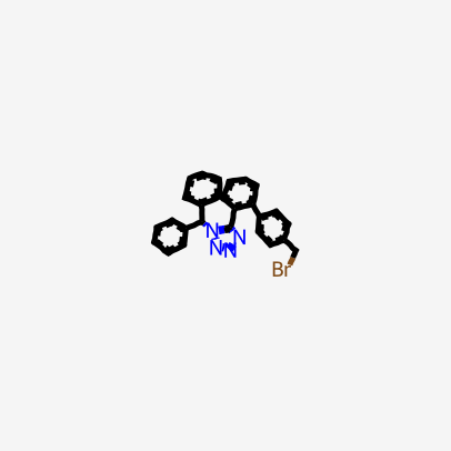 BrCc1ccc(-c2ccccc2-c2nnnn2C(c2ccccc2)c2ccccc2)cc1